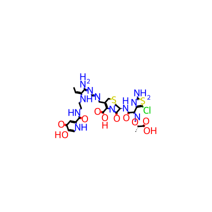 C\C=C(NCCNC(=O)c1cc(=O)c(O)c[nH]1)/C(N)=N\C=N\CC1=C(C(=O)O)N2C(=O)[C@@H](NC(=O)/C(=N\O[C@@H](C)C(=O)O)c3nc(N)sc3Cl)C2SC1